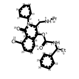 CC[C@H](NC(=O)Oc1c(CNC(C)C)n(-c2ccccc2)c(=O)c2c(Cl)cccc12)c1ccccc1